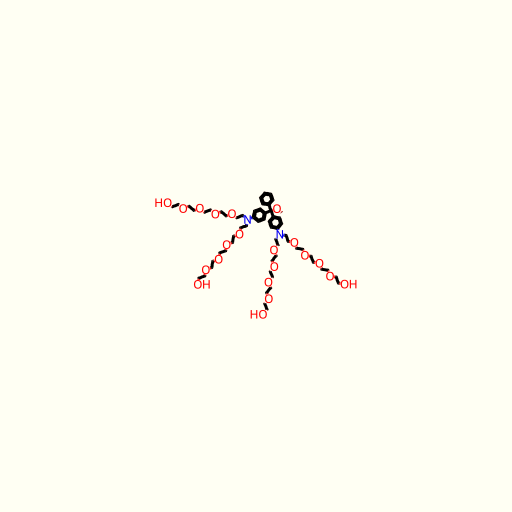 COC(c1ccccc1)(c1ccc(N(CCOCCOCCOCCOCCO)CCOCCOCCOCCOCCO)cc1)c1ccc(N(CCOCCOCCOCCOCCO)CCOCCOCCOCCOCCO)cc1